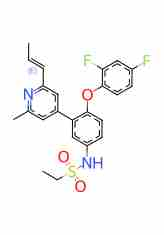 C/C=C/c1cc(-c2cc(NS(=O)(=O)CC)ccc2Oc2ccc(F)cc2F)cc(C)n1